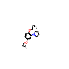 CCOc1ccc(OCC)c(N2CCCC2)c1